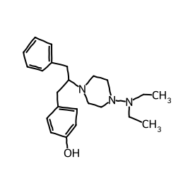 CCN(CC)N1CCN(C(Cc2ccccc2)Cc2ccc(O)cc2)CC1